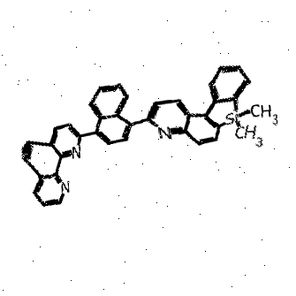 C[Si]1(C)c2ccccc2-c2c1ccc1nc(-c3ccc(-c4ccc5ccc6cccnc6c5n4)c4ccccc34)ccc21